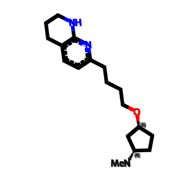 CN[C@H]1CC[C@H](OCCCCc2ccc3c(n2)NCCC3)C1